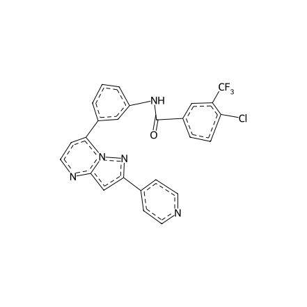 O=C(Nc1cccc(-c2ccnc3cc(-c4ccncc4)nn23)c1)c1ccc(Cl)c(C(F)(F)F)c1